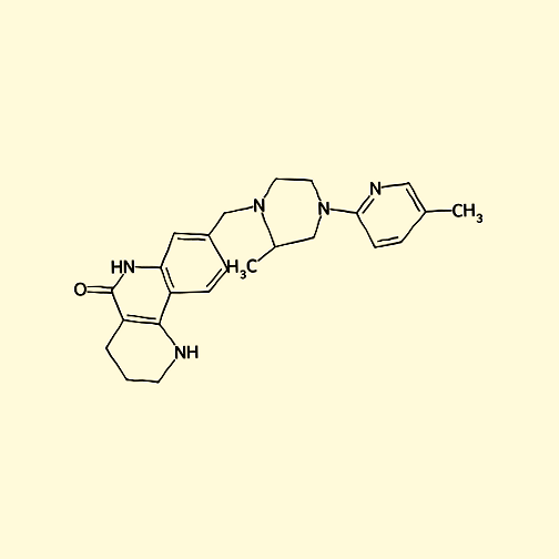 Cc1ccc(N2CCN(Cc3ccc4c5c(c(=O)[nH]c4c3)CCCN5)C(C)C2)nc1